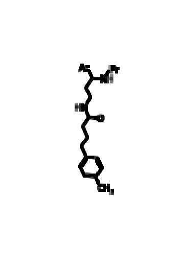 CC(=O)C(CCNC(=O)CCCc1ccc(C)cc1)NC(C)C